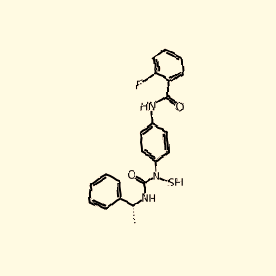 C[C@@H](NC(=O)N(S)c1ccc(NC(=O)c2ccccc2F)cc1)c1ccccc1